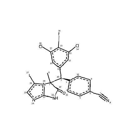 CC1([C@H](c2ccc(C#N)cc2)c2cc(Cl)c(F)c(Cl)c2)C(=O)Nc2ncc(I)n21